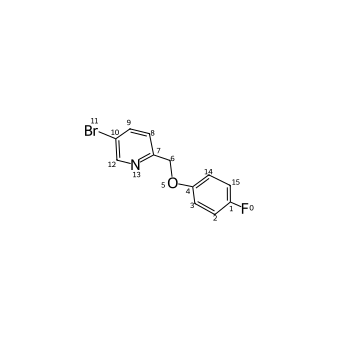 Fc1ccc(OCc2ccc(Br)cn2)cc1